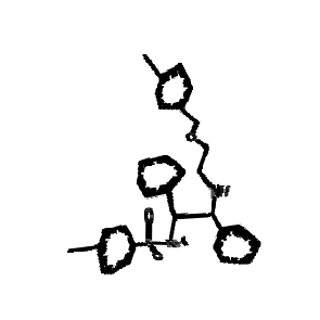 Cc1ccc(COCCNC(c2ccccc2)C(NS(=O)(=O)c2ccc(C)cc2)c2ccccc2)cc1